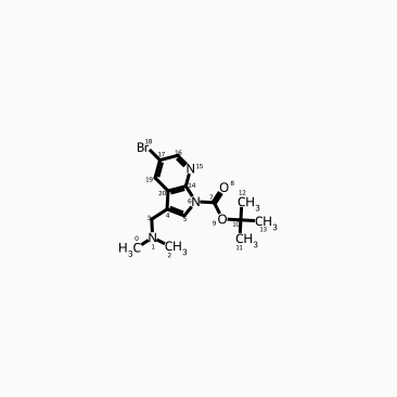 CN(C)Cc1cn(C(=O)OC(C)(C)C)c2ncc(Br)cc12